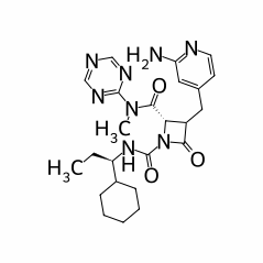 CC[C@@H](NC(=O)N1C(=O)C(Cc2ccnc(N)c2)[C@H]1C(=O)N(C)c1ncncn1)C1CCCCC1